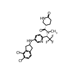 CN(C(=O)[C@H]1CCC(=O)NC1)[C@@H](c1ccc(NC2Cc3ccc(Cl)c(Cl)c3C2)cn1)C(F)(F)F